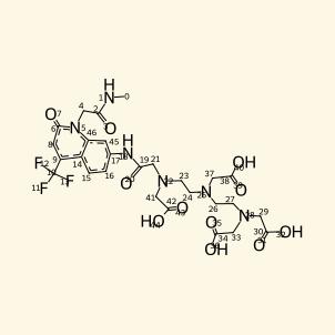 CNC(=O)Cn1c(=O)cc(C(F)(F)F)c2ccc(NC(=O)CN(CCN(CCN(CC(=O)O)CC(=O)O)CC(=O)O)CC(=O)O)cc21